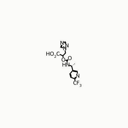 C[C@@H](NC(=O)OC(Cn1cncn1)C(=O)O)c1ccc(C(F)(F)F)nc1